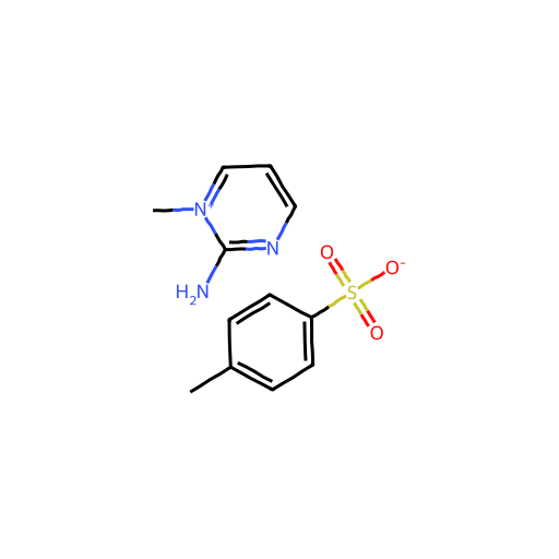 C[n+]1cccnc1N.Cc1ccc(S(=O)(=O)[O-])cc1